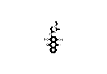 CCOC(C)OC(CC)Nc1cc(O)c2c(c1O)C(=O)c1ccccc1C2=O